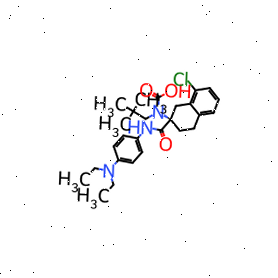 CCN(CC)c1ccc(NC(=O)[C@@]2(N(CC(C)(C)C)C(=O)O)CCc3cccc(Cl)c3C2)cc1